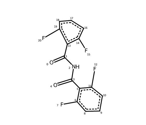 O=C(NC(=O)c1c(F)cccc1F)c1c(F)cccc1F